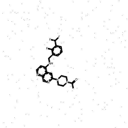 CC(=O)N1CCN(c2cc3c(NCc4cccc(C(F)F)c4F)ccnc3cn2)CC1